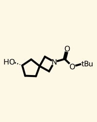 CC(C)(C)OC(=O)N1CC2(CC[C@H](O)C2)C1